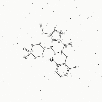 Nc1cccc(F)c1CN(CCC1CCS(=O)(=O)CC1)C(=O)c1cc(CF)n[nH]1